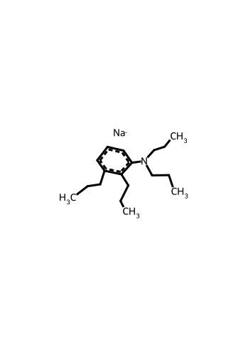 CCCc1cccc(N(CCC)CCC)c1CCC.[Na]